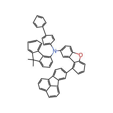 CC1(C)c2ccccc2-c2c(N(c3ccc(-c4ccccc4)cc3)c3ccc4oc5cccc(-c6ccc7c(c6)-c6cccc8cccc-7c68)c5c4c3)cccc21